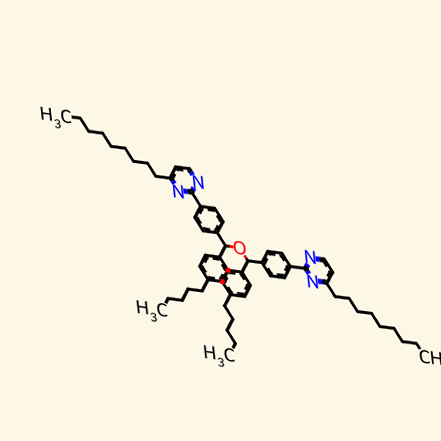 CCCCCCCCCc1ccnc(-c2ccc(C(OC(c3ccc(CCCCC)cc3)c3ccc(-c4nccc(CCCCCCCCC)n4)cc3)c3ccc(CCCCC)cc3)cc2)n1